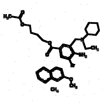 C.CCN(Cc1cc(C(=O)OCCCCOC(C)=O)cc(Br)c1N)C1CCCCC1.COc1ccc2ccccc2c1